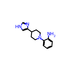 Nc1ccccc1N1CCC(c2c[nH]cn2)CC1